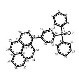 O=P(c1ccccc1)(c1ccccc1)c1ncc(-c2ccc3ccc4cccc5ccc2c3c45)cn1